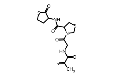 CC(=S)C(=O)NCC(=O)N1CSCC1C(=O)NC1CCSC1=O